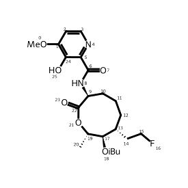 COc1ccnc(C(=O)N[C@H]2CCC[C@H](CCF)[C@@H](OCC(C)C)[C@H](C)OC2=O)c1O